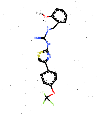 COc1ccccc1CNC(=N)Nc1nc(-c2ccc(OC(F)(F)F)cc2)cs1